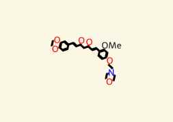 COc1cc(OCCN2CCOCC2)ccc1/C=C/C(=O)CC(=O)/C=C/c1ccc2c(c1)OCCO2